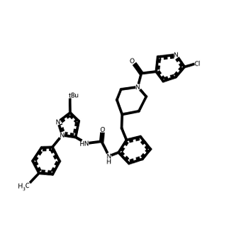 Cc1ccc(-n2nc(C(C)(C)C)cc2NC(=O)Nc2ccccc2CC2CCN(C(=O)c3ccc(Cl)nc3)CC2)cc1